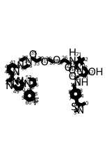 Cc1ncsc1-c1ccc(CNC(=O)[C@@H]2C[C@@H](O)CN2C(=O)[C@@H](NC(=O)CCOCCOCCC(=O)N2CCN(c3cccc(-c4cnc5ccc(N6CCC[C@@H]6c6cccc(F)c6)nn45)n3)CC2)C(C)(C)C)cc1